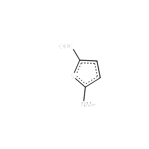 CNc1ccc([C]=O)s1